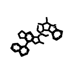 CCS(CC)(C1c2cc3c(c(-c4cccc5ccccc45)c2CC1C)CCC3)C1C(C)C(C)C2Sc3ccccc3C21